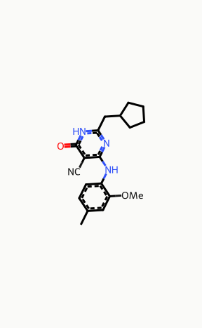 COc1cc(C)ccc1Nc1nc(CC2CCCC2)[nH]c(=O)c1C#N